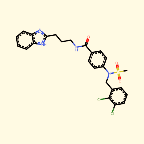 CS(=O)(=O)N(Cc1cccc(Cl)c1Cl)c1ccc(C(=O)NCCCc2nc3ccccc3[nH]2)cc1